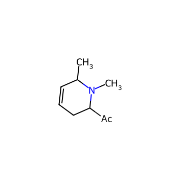 CC(=O)C1CC=CC(C)N1C